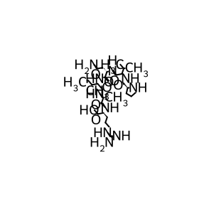 CC[C@H](C)[C@H](NC(=O)[C@H](CC(N)=O)NC(=O)[C@@H](NC(=O)[C@@H]1CCCN1)C(C)C)C(=O)N[C@@H](C)C(=O)N[C@@H](CCCNC(=N)N)C(=O)O